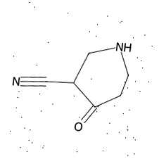 N#CC1CNCCC1=O